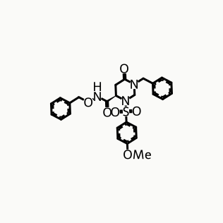 COc1ccc(S(=O)(=O)N2CN(Cc3ccccc3)C(=O)C[C@@H]2C(=O)NOCc2ccccc2)cc1